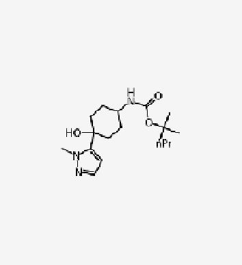 CCCC(C)(C)OC(=O)NC1CCC(O)(c2ccnn2C)CC1